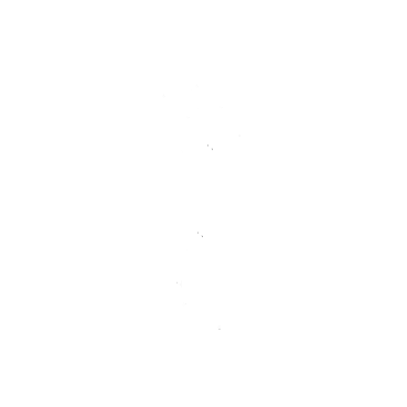 CC(C)(C)OC(=O)NCCNCCCCN1C(=O)c2cccc3cccc(c23)C1=O